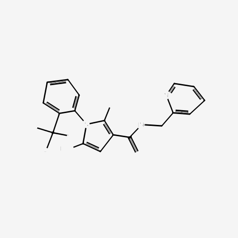 Cc1cc(C(=O)NCc2ccccn2)c(C)n1-c1ccccc1C(F)(F)F